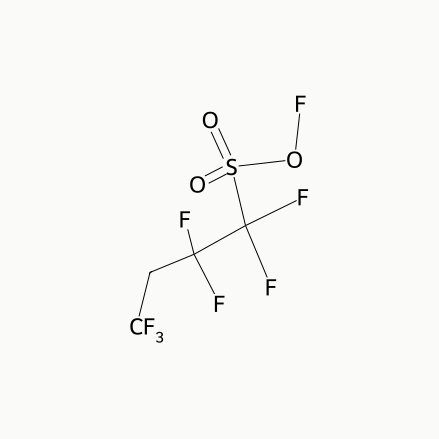 O=S(=O)(OF)C(F)(F)C(F)(F)CC(F)(F)F